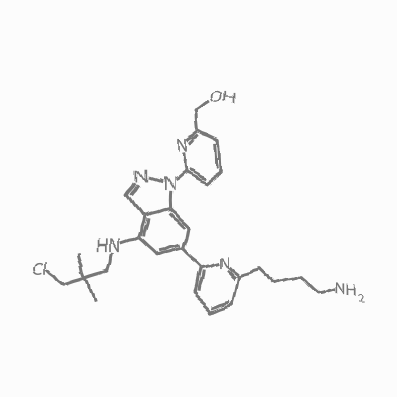 CC(C)(CCl)CNc1cc(-c2cccc(CCCCN)n2)cc2c1cnn2-c1cccc(CO)n1